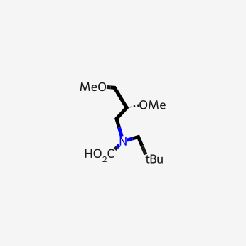 COC[C@@H](CN(CC(C)(C)C)C(=O)O)OC